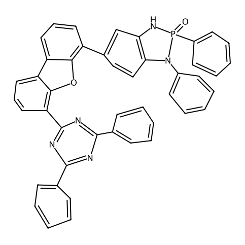 O=P1(c2ccccc2)Nc2cc(-c3cccc4c3oc3c(-c5nc(-c6ccccc6)nc(-c6ccccc6)n5)cccc34)ccc2N1c1ccccc1